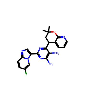 CC1(C)CC(c2nc(-c3cnc4ccc(F)cn34)nc(N)c2N)c2cccnc2O1